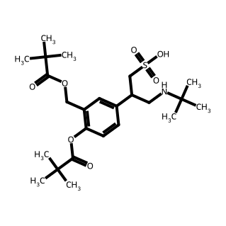 CC(C)(C)NCC(CS(=O)(=O)O)c1ccc(OC(=O)C(C)(C)C)c(COC(=O)C(C)(C)C)c1